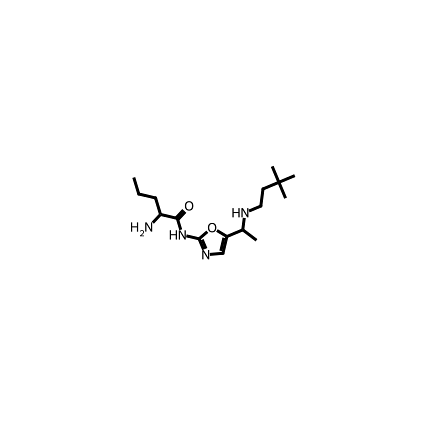 CCCC(N)C(=O)Nc1ncc(C(C)NCCC(C)(C)C)o1